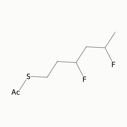 CC(=O)SCCC(F)CC(C)F